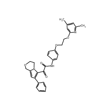 Cc1cc(C)nc(OCCOc2ccc(NC(=O)C(=O)c3c(-c4ccccc4)cc4n3CCOC4)cc2)c1